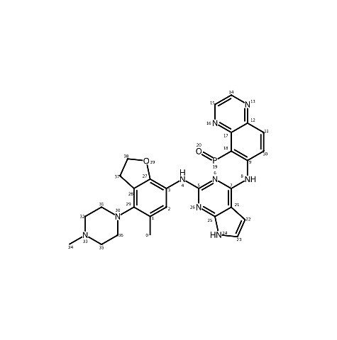 Cc1cc(Nc2nc(Nc3ccc4nccnc4c3P=O)c3cc[nH]c3n2)c2c(c1N1CCN(C)CC1)CCO2